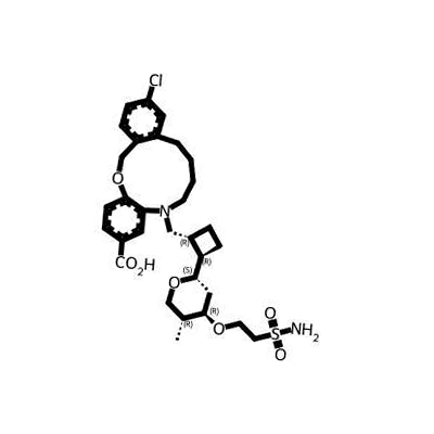 C[C@@H]1CO[C@H]([C@@H]2CC[C@H]2CN2CCCCc3cc(Cl)ccc3COc3ccc(C(=O)O)cc32)C[C@H]1OCCS(N)(=O)=O